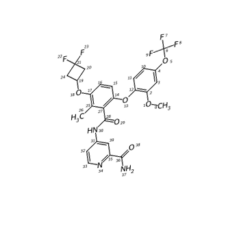 COc1cc(OC(F)(F)F)ccc1Oc1ccc(OC2CC(F)(F)C2)c(C)c1C(=O)Nc1ccnc(C(N)=O)c1